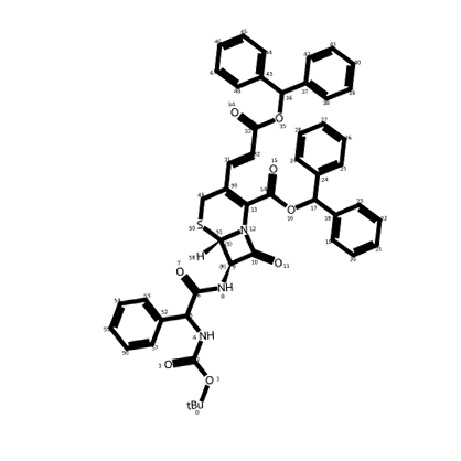 CC(C)(C)OC(=O)NC(C(=O)N[C@@H]1C(=O)N2C(C(=O)OC(c3ccccc3)c3ccccc3)=C(C=CC(=O)OC(c3ccccc3)c3ccccc3)CS[C@@H]12)c1ccccc1